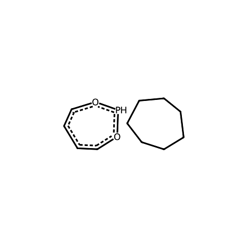 C1CCCCCC1.c1cco[pH]oc1